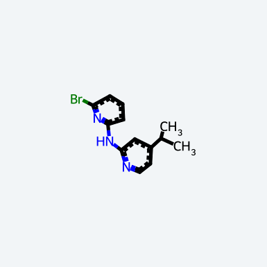 CC(C)c1ccnc(Nc2cccc(Br)n2)c1